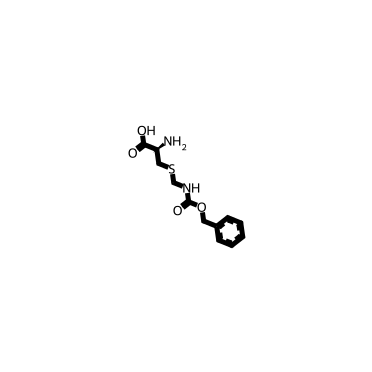 N[C@@H](CSCNC(=O)OCc1ccccc1)C(=O)O